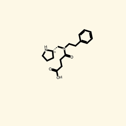 O=C(O)CCC(=O)N(CCc1ccccc1)C[C@@H]1CCCN1